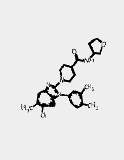 Cc1ccc(-n2c(N3CCC(C(=O)NC4CCOC4)CC3)nc3cc(C)c(Cl)cc32)cc1C